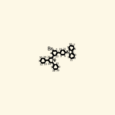 Brc1cc(-c2ccc(-n3c4ccccc4c4ccccc43)cc2)cc(-c2cc(-c3ccccc3)cc(-c3ccccc3)n2)c1